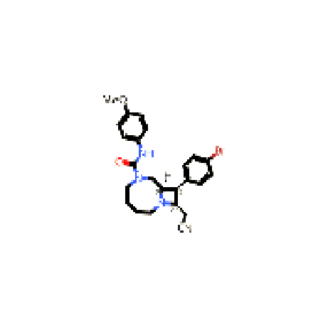 COc1ccc(NC(=O)N2CCCCN3[C@H](CC#N)[C@H](c4ccc(Br)cc4)[C@@H]3C2)cc1